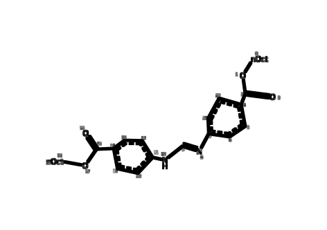 CCCCCCCCOC(=O)c1ccc(N=CNc2ccc(C(=O)OCCCCCCCC)cc2)cc1